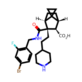 O=C(O)[C@@H]1[C@H]2CC[C@@H](C23CC3)[C@@]1(CCC1CCNCC1)C(=O)NCc1ccc(Br)cc1F